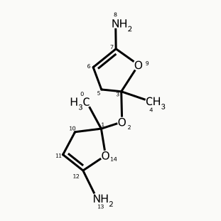 CC1(OC2(C)CC=C(N)O2)CC=C(N)O1